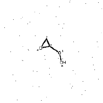 OOC1CO1